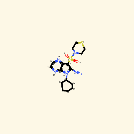 Nc1c(S(=O)(=O)N2CCSCC2)c2nccnc2n1C1CCCCC1